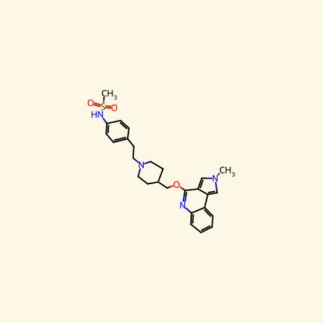 Cn1cc2c(OCC3CCN(CCc4ccc(NS(C)(=O)=O)cc4)CC3)nc3ccccc3c2c1